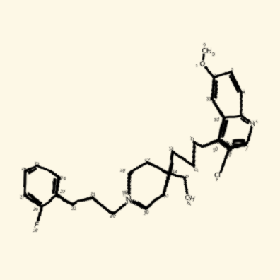 COc1ccc2ncc(Cl)c(CCCC3(CO)CCN(CCCc4ccccc4F)CC3)c2c1